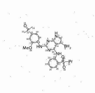 Bc1c[nH]c2nc(Nc3ccc(P(C)(C)=O)cc3OC)nc(Nc3ccccc3S(=O)(=O)C(C)C)c12